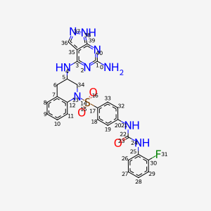 Nc1nc(NC2Cc3ccccc3N(S(=O)(=O)c3ccc(NC(=O)Nc4ccccc4F)cc3)C2)c2cn[nH]c2n1